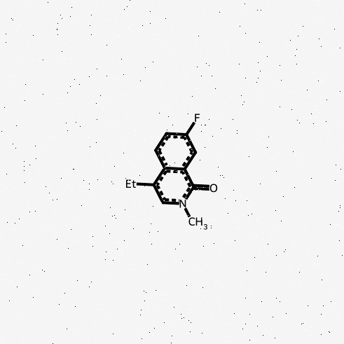 CCc1cn(C)c(=O)c2cc(F)ccc12